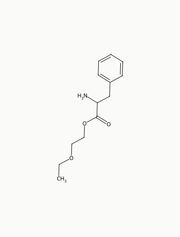 CCOCCOC(=O)C(N)Cc1ccccc1